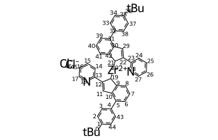 CC(C)(C)c1ccc(-c2cccc3c2C=C(c2ccccn2)[CH]3[Zr+2][CH]2C(c3ccccn3)=Cc3c(-c4ccc(C(C)(C)C)cc4)cccc32)cc1.[Cl-].[Cl-]